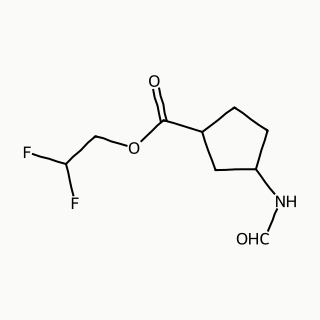 O=CNC1CCC(C(=O)OCC(F)F)C1